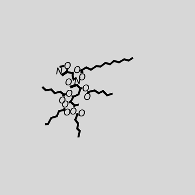 CCCCCCCCCCCC(=O)OC(c1cnco1)c1nc(C(CC(OC(=O)CCCCC)C(OC(=O)CCCCC)C(C)OC(=O)CCCCC)OC(=O)CCCCC)co1